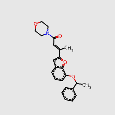 CC(=CC(=O)N1CCOCC1)c1cc2cccc(OC(C)c3ccccc3)c2o1